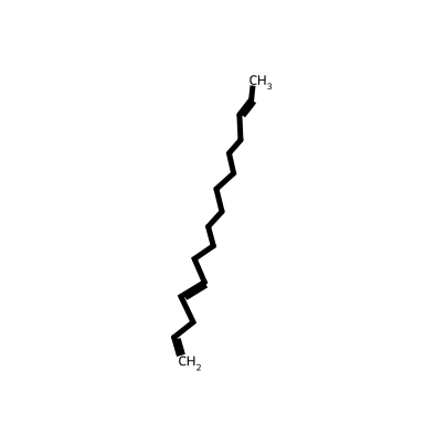 C=CCC=CCCCCCCCCC=CC